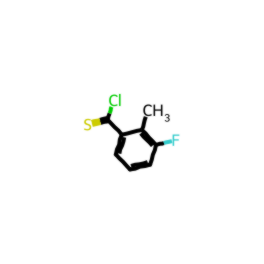 Cc1c(F)cccc1C(=S)Cl